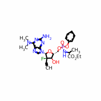 C#C[C@@]1(F)[C@H](O)[C@@H](CO[P@@](=O)(N[C@@H](C)C(=O)OCC)Oc2ccccc2)O[C@H]1n1cnc2c(N(C)C)nc(N)nc21